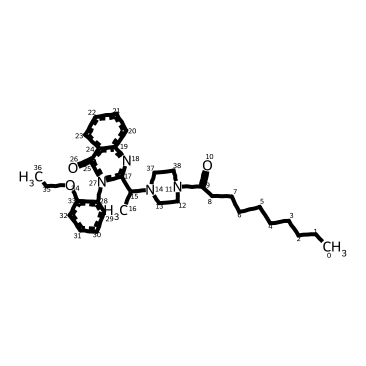 CCCCCCCCCC(=O)N1CCN(C(C)c2nc3ccccc3c(=O)n2-c2ccccc2OCC)CC1